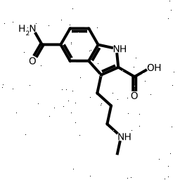 CNCCCc1c(C(=O)O)[nH]c2ccc(C(N)=O)cc12